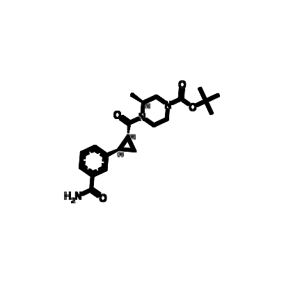 C[C@H]1CN(C(=O)OC(C)(C)C)CCN1C(=O)[C@@H]1C[C@H]1c1cccc(C(N)=O)c1